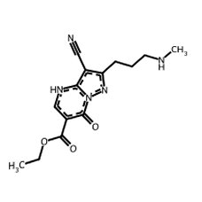 CCOC(=O)c1c[nH]c2c(C#N)c(CCCNC)nn2c1=O